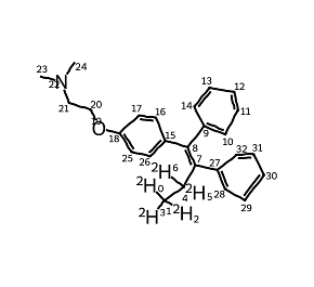 [2H]C([2H])([2H])C([2H])([2H])C(=C(c1ccccc1)c1ccc(OCCN(C)C)cc1)c1ccccc1